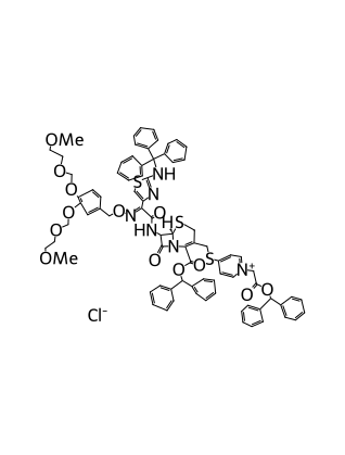 COCCOCOc1ccc(CON=C(C(=O)NC2C(=O)N3C(C(=O)OC(c4ccccc4)c4ccccc4)=C(CSc4cc[n+](CC(=O)OC(c5ccccc5)c5ccccc5)cc4)CS[C@@H]23)c2csc(NC(c3ccccc3)(c3ccccc3)c3ccccc3)n2)cc1OCOCCOC.[Cl-]